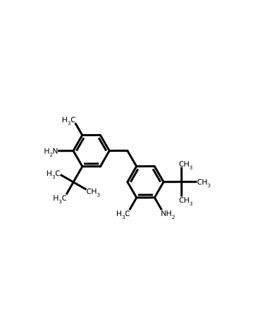 Cc1cc(Cc2cc(C)c(N)c(C(C)(C)C)c2)cc(C(C)(C)C)c1N